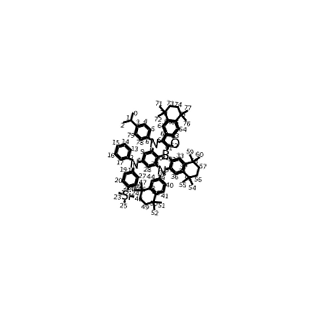 CC(C)c1ccc(N2c3cc(N(c4ccccc4)c4ccc([Si](C)(C)C)cc4)cc4c3B(c3cc5c(cc3N4c3ccc4c(c3)C(C)(C)CCC4(C)C)C(C)(C)CCC5(C)C)c3oc4cc5c(cc4c32)C(C)(C)CCC5(C)C)cc1